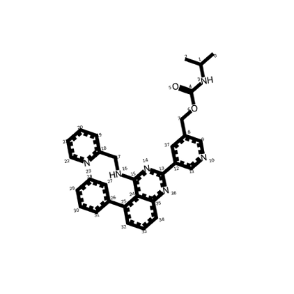 CC(C)NC(=O)OCc1cncc(-c2nc(NCc3ccccn3)c3c(-c4ccccc4)cccc3n2)c1